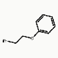 CC(C)CCOc1[c]cccc1